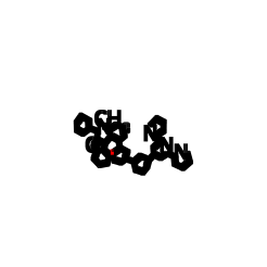 CN1c2cccc(-c3cccc(-c4cccc(-c5cc(-c6ccccn6)nc(-c6ccccn6)c5)c4)c3)c2-c2c(oc3ccccc23)C1c1ccccc1